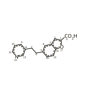 O=C(O)c1cc2cc(CCc3cccnc3)ccc2o1